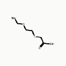 CNC(=O)COCCOCC(C)(C)C